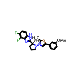 COc1cccc(C2=[C]N(N3CCC[C@@]3(C)c3nc4c(F)c(F)ccc4[nH]3)C(C)S2)c1